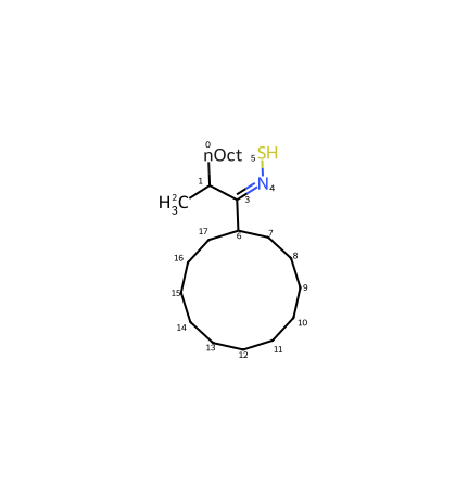 CCCCCCCCC(C)/C(=N\S)C1CCCCCCCCCCC1